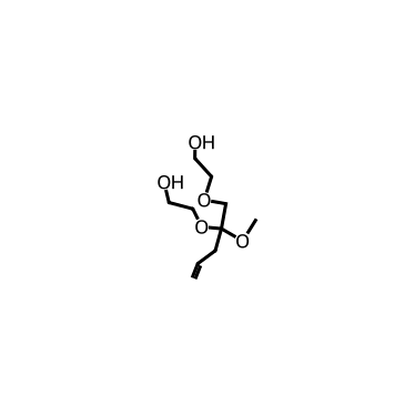 C=CCC(COCCO)(OC)OCCO